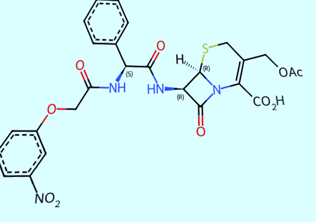 CC(=O)OCC1=C(C(=O)O)N2C(=O)[C@@H](NC(=O)[C@@H](NC(=O)COc3cccc([N+](=O)[O-])c3)c3ccccc3)[C@H]2SC1